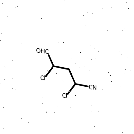 N#CC(Cl)CC(Cl)C=O